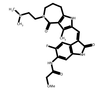 COCC(=O)Nc1cc2c(cc1F)C(=Cc1[nH]c3c(c1C)C(=O)N(CCN(C)C)CCC3)C(=O)N2